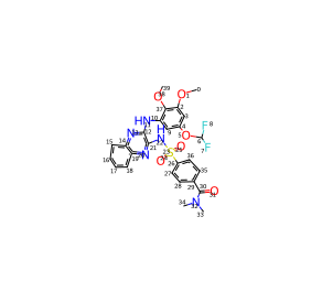 COc1cc(OC(F)F)cc(Nc2nc3ccccc3nc2NS(=O)(=O)c2ccc(C(=O)N(C)C)cc2)c1OC